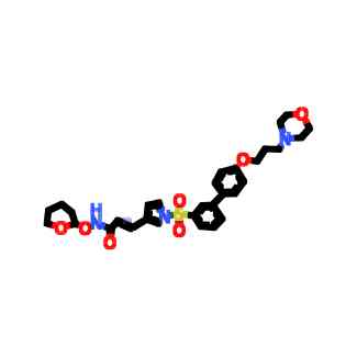 O=C(/C=C/c1ccn(S(=O)(=O)c2cccc(-c3ccc(OCCCN4CCOCC4)cc3)c2)c1)NOC1CCCCO1